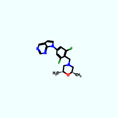 C[C@@H]1CN(Cc2c(F)cc(-n3ccc4cncnc43)cc2F)C[C@H](C)O1